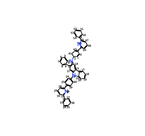 C1=CC(n2c3ccccc3c3cc4c(cc32)c2ccccc2n4-c2ccc(-c3cccc(-c4ccccc4)n3)cc2)CC=C1c1cccc(-c2ccccc2)n1